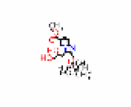 CCOC(=O)c1ccc2nc(CO[Si](C)(C)C(C)(C)C)c(CC(O)CO)n2c1